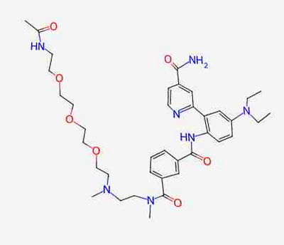 CCN(CC)c1ccc(NC(=O)c2cccc(C(=O)N(C)CCN(C)CCOCCOCCOCCNC(C)=O)c2)c(-c2cc(C(N)=O)ccn2)c1